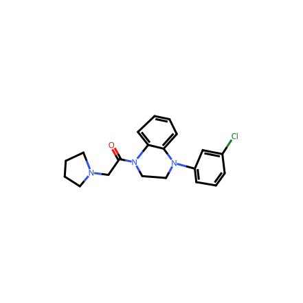 O=C(CN1CCCC1)N1CCN(c2cccc(Cl)c2)c2ccccc21